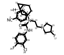 N#Cc1cccc([C@]23CC[C@@H](N(CCN4CCC(F)C4)C(=O)Nc4ccc(F)c(Cl)c4)C[C@H]2C3)c1